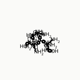 Cl.NCCCC[C@@](N)(C(=O)Cc1c[nH]c2ccc(O)cc12)C(=O)Nc1ccc(C(c2ccc(NC(=O)[C@@](N)(CCCCN)C(=O)Cc3c[nH]c4ccc(O)cc34)cc2)c2ccc(NC(=O)[C@@](N)(CCCCN)C(=O)Cc3c[nH]c4ccc(O)cc34)cc2)cc1